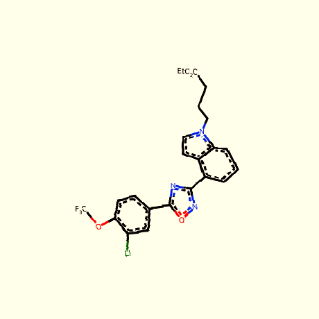 CCOC(=O)CCCn1ccc2c(-c3noc(-c4ccc(OC(F)(F)F)c(Cl)c4)n3)cccc21